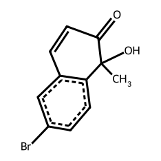 CC1(O)C(=O)C=Cc2cc(Br)ccc21